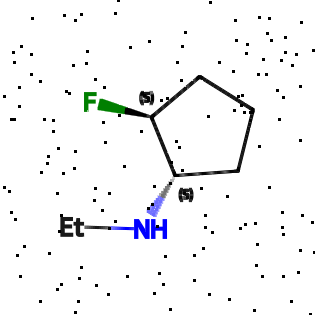 CCN[C@H]1CCC[C@@H]1F